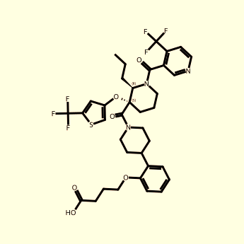 CCC[C@H]1N(C(=O)c2cnccc2C(F)(F)F)CCC[C@@]1(Oc1csc(C(F)(F)F)c1)C(=O)N1CCC(c2ccccc2OCCCC(=O)O)CC1